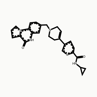 O=C(NC1CC1)c1ccc(C2=CCN(Cc3ccc4c(c3)[nH]c(=O)c3cccn34)CC2)cn1